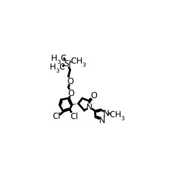 Cn1cc(N2C[C@H](c3c(OCOCC[Si](C)(C)C)ccc(Cl)c3Cl)CC2=O)cn1